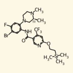 C[C@H]1CN(c2cc(F)c(Br)cc2NC(=O)c2cnc(OCC[Si](C)(C)C)cc2C(F)(F)F)CCN1C